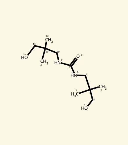 CC(C)(CO)CNC(=O)NCC(C)(C)CO